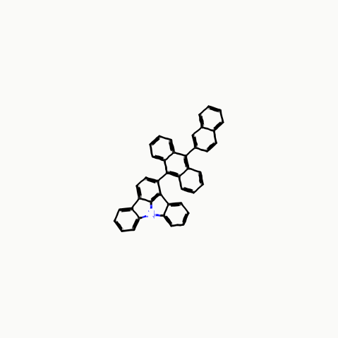 c1ccc2cc(-c3c4ccccc4c(-c4ccc5c6ccccc6n6c7ccccc7c4c56)c4ccccc34)ccc2c1